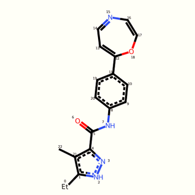 CCc1[nH]nc(C(=O)Nc2ccc(C3=CC=NC=CO3)cc2)c1C